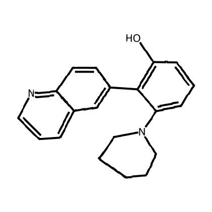 Oc1cccc(N2CCCCC2)c1-c1ccc2ncccc2c1